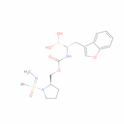 CN=S(=O)(C(C)C)N1CCC[C@@H]1COC(=O)N[C@@H](Cc1coc2ccccc12)B(O)O